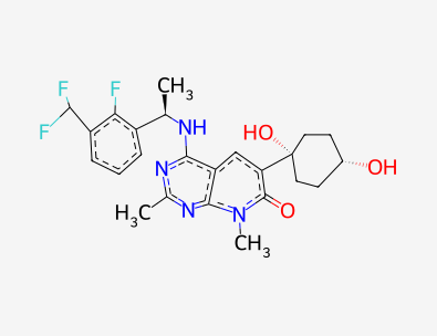 Cc1nc(N[C@H](C)c2cccc(C(F)F)c2F)c2cc([C@]3(O)CC[C@@H](O)CC3)c(=O)n(C)c2n1